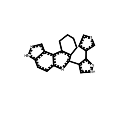 c1cc(-c2n[nH]cc2-c2nc3ccc4[nH]ncc4c3c3c2CCCC3)cs1